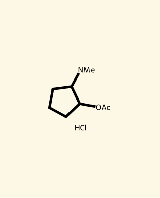 CNC1CCCC1OC(C)=O.Cl